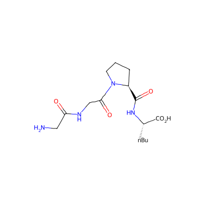 CCCC[C@H](NC(=O)[C@@H]1CCCN1C(=O)CNC(=O)CN)C(=O)O